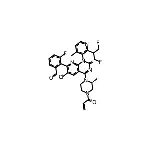 C=CC(=[18O])N1CCN(C2=NC(=C)N(c3c(C)ccnc3C(CF)CF)c3nc(-c4c(F)cccc4C=O)c(Cl)cc32)[C@@H](C)C1